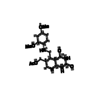 COc1ccc(NCc2c(COC(C)=O)cnc3[nH]c(=O)[nH]c(=O)c23)c(OC)c1